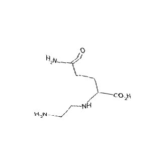 NCCNC(CCC(N)=O)C(=O)O